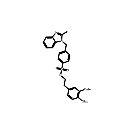 COc1ccc(CCNS(=O)(=O)c2ccc(Cn3c(C)nc4ccccc43)cc2)cc1OC